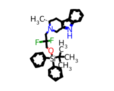 C[C@@H]1Cc2c([nH]c3ccccc23)CN1CC(F)(F)CO[Si](c1ccccc1)(c1ccccc1)C(C)(C)C